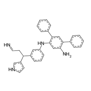 N=CCC(c1cc[nH]c1)c1cccc(Nc2cc(N)c(-c3ccccc3)cc2-c2ccccc2)c1